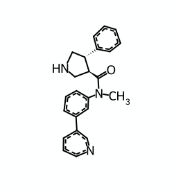 CN(C(=O)[C@H]1CNC[C@@H]1c1ccccc1)c1cccc(-c2cccnc2)c1